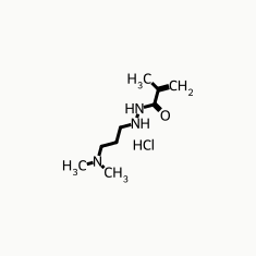 C=C(C)C(=O)NNCCCN(C)C.Cl